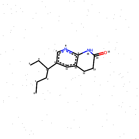 CCCC(CC)c1cnc2c(c1)CCC(=O)N2